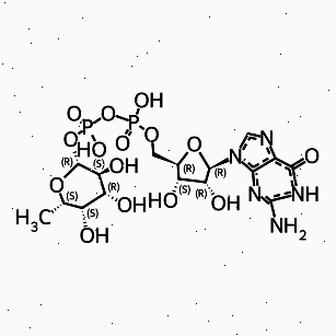 C[C@@H]1O[C@H](OP(=O)(O)OP(=O)(O)OC[C@H]2O[C@@H](n3cnc4c(=O)[nH]c(N)nc43)[C@H](O)[C@@H]2O)[C@@H](O)[C@H](O)[C@@H]1O